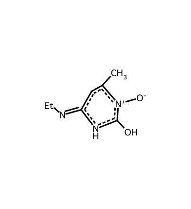 CC/N=c1\cc(C)[n+]([O-])c(O)[nH]1